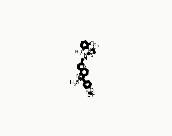 Cc1cccc(C)c1N1C(=O)CSC1=NN=Cc1ccc2c(n1)CCc1c-2nn(C)c1-c1ccc(OC(F)(F)F)cc1